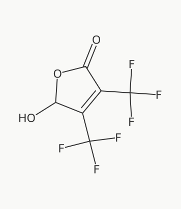 O=C1OC(O)C(C(F)(F)F)=C1C(F)(F)F